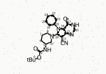 CC(C)(C)OC(=O)N[C@H]1CCCN(c2c(C#N)c3nc[nH]c(=O)c3n2-c2ccccc2)C1